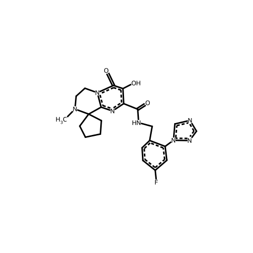 CN1CCn2c(nc(C(=O)NCc3ccc(F)cc3-n3cncn3)c(O)c2=O)C12CCCC2